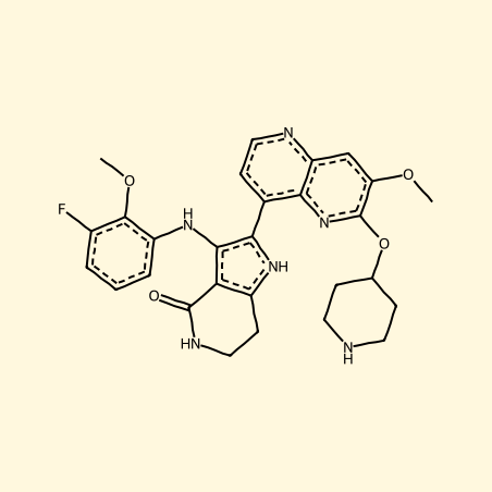 COc1cc2nccc(-c3[nH]c4c(c3Nc3cccc(F)c3OC)C(=O)NCC4)c2nc1OC1CCNCC1